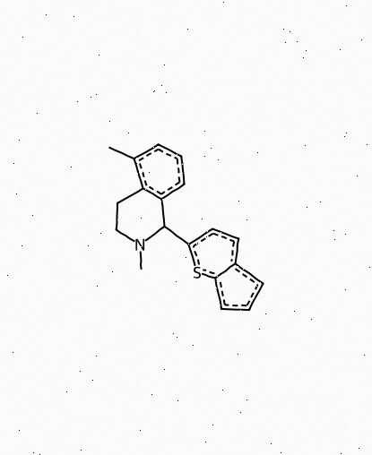 Cc1cccc2c1CCN(C)C2c1ccc2cccc-2s1